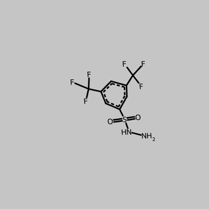 NNS(=O)(=O)c1cc(C(F)(F)F)cc(C(F)(F)F)c1